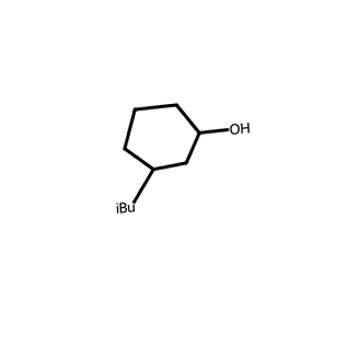 CCC(C)C1CCCC(O)C1